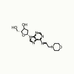 OC[C@H]1O[C@@H](n2cnc3c(N=CCN4CCOCC4)ncnc32)CC1O